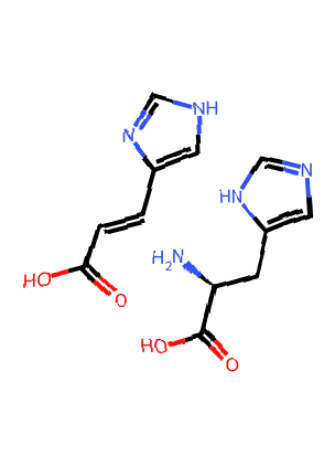 N[C@@H](Cc1cnc[nH]1)C(=O)O.O=C(O)/C=C/c1c[nH]cn1